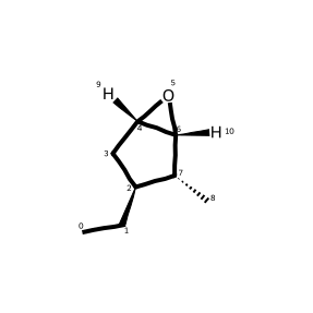 CC[C@H]1C[C@@H]2O[C@@H]2[C@@H]1C